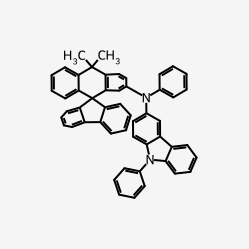 CC1(C)c2ccccc2C2(c3ccccc3-c3ccccc32)c2cc(N(c3ccccc3)c3ccc4c(c3)c3ccccc3n4-c3ccccc3)ccc21